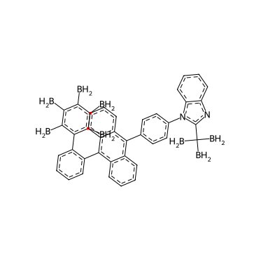 Bc1c(B)c(B)c(-c2ccccc2-c2c3ccccc3c(-c3ccc(-n4c(C(B)(B)B)nc5ccccc54)cc3)c3ccccc23)c(B)c1B